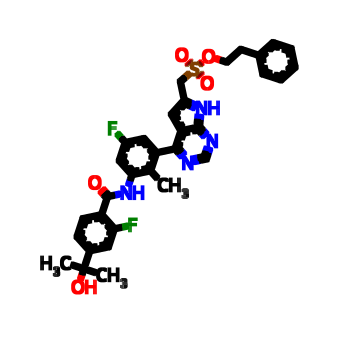 Cc1c(NC(=O)c2ccc(C(C)(C)O)cc2F)cc(F)cc1-c1ncnc2[nH]c(CS(=O)(=O)OCCc3ccccc3)cc12